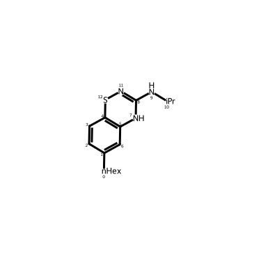 CCCCCCc1ccc2c(c1)NC(NC(C)C)=NS2